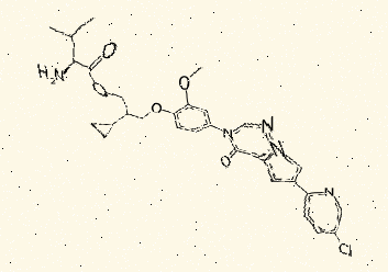 COc1cc(-n2cnn3cc(-c4ccc(Cl)cn4)cc3c2=O)ccc1OCC(COC(=O)[C@@H](N)C(C)C)C1CC1